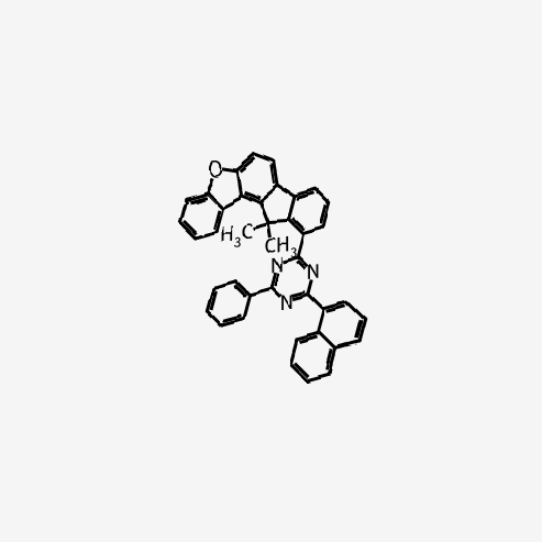 CC1(C)c2c(-c3nc(-c4ccccc4)nc(-c4cccc5ccccc45)n3)cccc2-c2ccc3oc4ccccc4c3c21